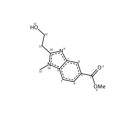 COC(=O)c1ccc2c(c1)nc(CCO)n2C